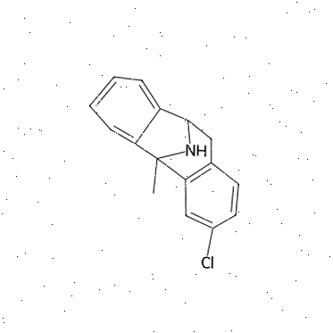 CC12NC(Cc3ccc(Cl)cc31)c1ccccc12